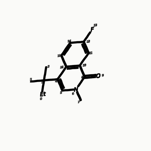 CCC(C)(C)c1cn(C)c(=O)c2cc(F)ccc12